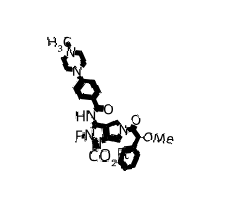 CCOC(=O)N1C2=C(CN(C(=O)[C@H](OC)c3ccccc3)C2)C(NC(=O)c2ccc(N3CCN(C)CC3)cc2)N1F